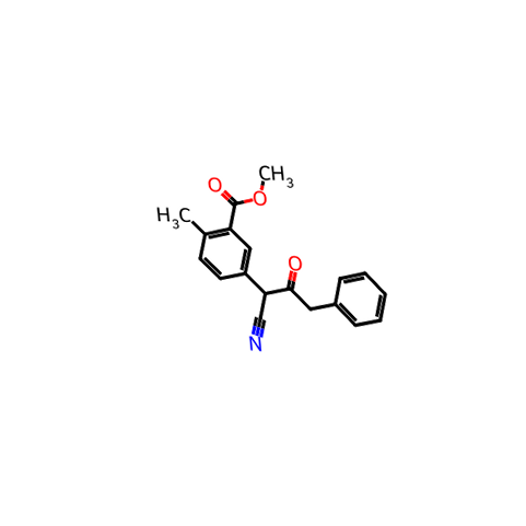 COC(=O)c1cc(C(C#N)C(=O)Cc2ccccc2)ccc1C